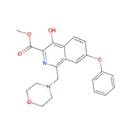 COC(=O)c1nc(CN2CCOCC2)c2cc(Oc3ccccc3)ccc2c1O